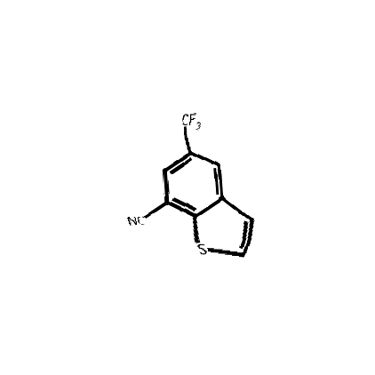 N#Cc1cc(C(F)(F)F)cc2ccsc12